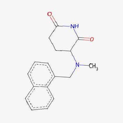 CN(Cc1cccc2ccccc12)C1CCC(=O)NC1=O